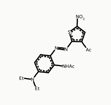 CCN(CC)c1ccc(/N=N/c2sc([N+](=O)[O-])cc2C(C)=O)c(NC(C)=O)c1